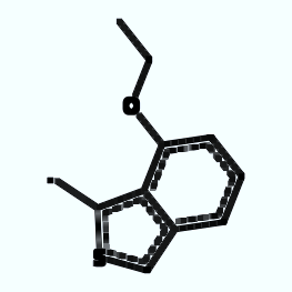 [CH2]c1scc2cccc(OCC)c12